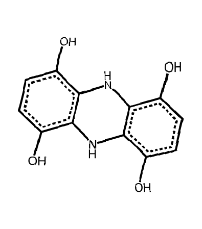 Oc1ccc(O)c2c1Nc1c(O)ccc(O)c1N2